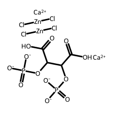 O=C(O)C(OP(=O)([O-])[O-])C(OP(=O)([O-])[O-])C(=O)O.[Ca+2].[Ca+2].[Cl][Zn][Cl].[Cl][Zn][Cl]